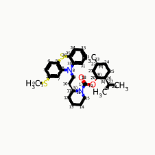 CSc1ccc2c(c1)N(CC[C@@H]1CCCCN1C(=O)O[C@@H]1C[C@H](C)CC[C@H]1C(C)C)c1ccccc1S2